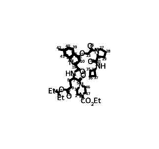 CCOC(=O)N1CCN(C(=O)C(CCC(=O)OC(CC)CC)NC(=O)c2cc(OCC(=O)N3CCCC3C(=O)NC3CCC3)c3ccc(C)cc3n2)CC1